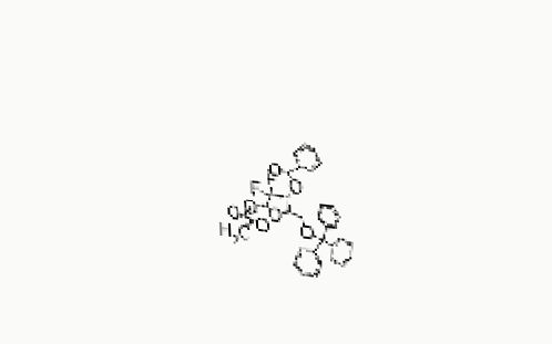 CS(=O)(=O)OC1O[C@H](COC(c2ccccc2)(c2ccccc2)c2ccccc2)[C@@H](OC(=O)c2ccccc2)C1(F)F